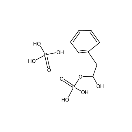 O=P(O)(O)O.O=P(O)(O)OC(O)Cc1ccccc1